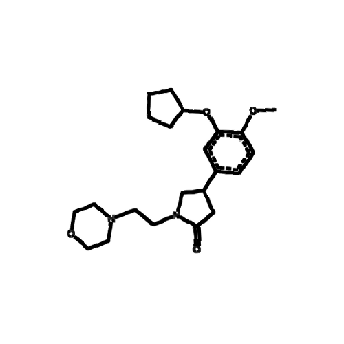 COc1ccc(C2CC(=O)N(CCN3CCOCC3)C2)cc1OC1CCCC1